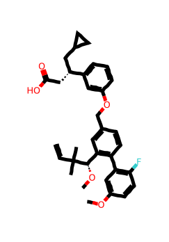 C=CC(C)(C)[C@@H](OC)c1cc(COc2cccc([C@H](CC(=O)O)CC3CC3)c2)ccc1-c1cc(OC)ccc1F